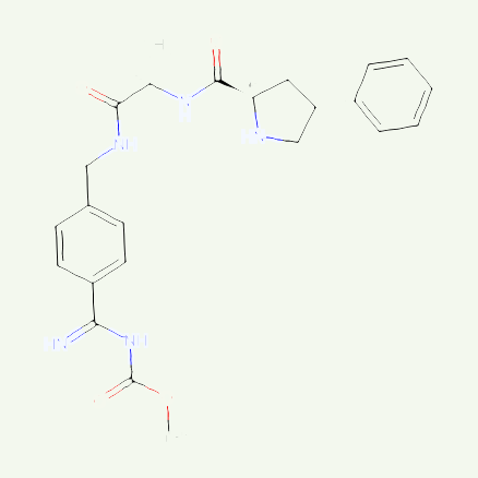 CCCOC(=O)NC(=N)c1ccc(CNC(=O)[C@H](C)NC(=O)[C@H]2C[C@H](c3ccccc3)CN2)cc1